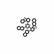 c1ccc2cc(-c3nc(-c4c(-c5ccc6ccccc6c5)ccc5oc6cc7ccccc7cc6c45)nc(-c4cccc5sc6ccccc6c45)n3)ccc2c1